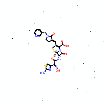 Nc1nc(C(=NO)C(=O)N[C@@H]2C(=O)N3C(C(=O)O)=C(C=C4CCN(Cc5cccnc5)C4=O)CS[C@H]23)cs1